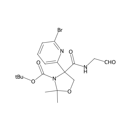 CC(C)(C)OC(=O)N1C(C)(C)OCC1(C(=O)NCC=O)c1cccc(Br)n1